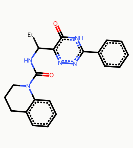 CCC(NC(=O)N1CCCc2ccccc21)c1nnc(-c2ccccc2)[nH]c1=O